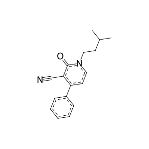 CC(C)CCn1ccc(-c2ccccc2)c(C#N)c1=O